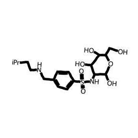 CC(C)CCNCc1ccc(S(=O)(=O)NC2C(O)OC(CO)C(O)C2O)cc1